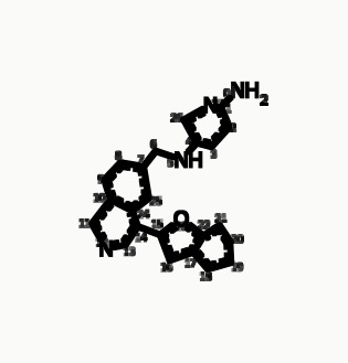 Nc1ccc(NCc2ccc3cncc(-c4cc5ccccc5o4)c3c2)cn1